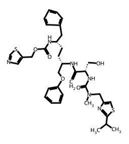 C=C(N[C@@H](CC[C@@H](Cc1ccccc1)NC(=O)OCc1cncs1)COc1ccccc1)[C@H](CO)NC(=O)N(C)Cc1csc(C(C)C)n1